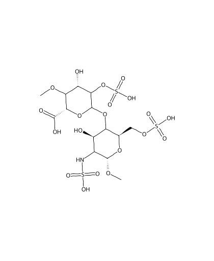 COC1[C@H](O)C(OS(=O)(=O)O)C(OC2[C@H](O)C(NS(=O)(=O)O)[C@@H](OC)O[C@@H]2COS(=O)(=O)O)O[C@@H]1C(=O)O